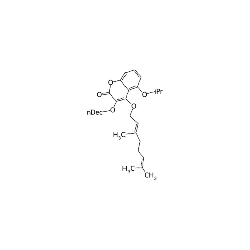 CCCCCCCCCCOc1c(OC/C=C(\C)CCC=C(C)C)c2c(OC(C)C)cccc2oc1=O